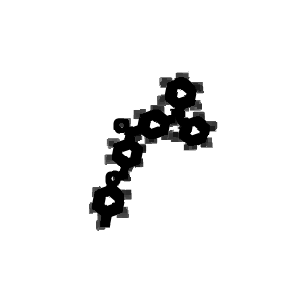 Cc1ccc(OCc2ccc(C(=O)c3ccc(N(c4ccccc4)c4ccccc4)cc3)cc2)cc1